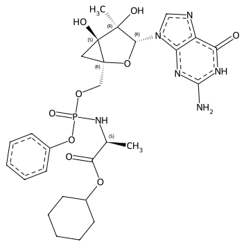 C[C@H](NP(=O)(OC[C@]12C[C@]1(O)[C@@](C)(O)[C@H](n1cnc3c(=O)[nH]c(N)nc31)O2)Oc1ccccc1)C(=O)OC1CCCCC1